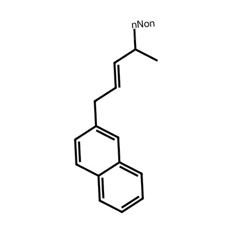 CCCCCCCCCC(C)/C=C/Cc1ccc2ccccc2c1